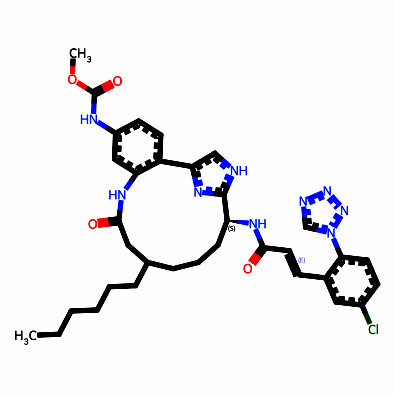 CCCCCCC1CCC[C@H](NC(=O)/C=C/c2cc(Cl)ccc2-n2cnnn2)c2nc(c[nH]2)-c2ccc(NC(=O)OC)cc2NC(=O)C1